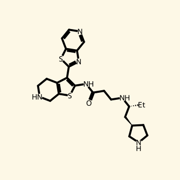 CC[C@H](C[C@H]1CCNC1)NCCC(=O)Nc1sc2c(c1-c1nc3cnccc3s1)CCNC2